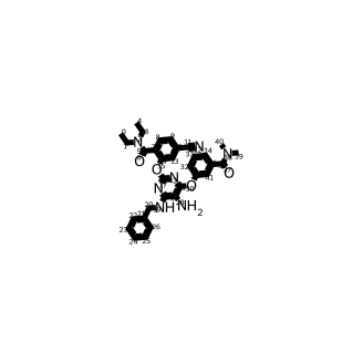 CCN(CC)C(=O)c1ccc(C#N)cc1Oc1nc(NCc2ccccc2)c(N)c(Oc2cccc(C(=O)N(C)C)c2)n1